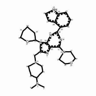 CN(C)C1CCN(Cc2nc3c(N4CCOCC4)nc(-c4cccc5[nH]ccc45)nc3n2C2CCCCO2)CC1